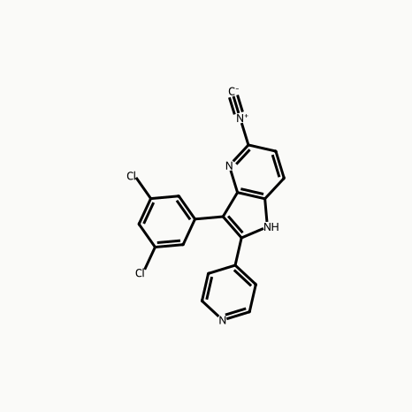 [C-]#[N+]c1ccc2[nH]c(-c3ccncc3)c(-c3cc(Cl)cc(Cl)c3)c2n1